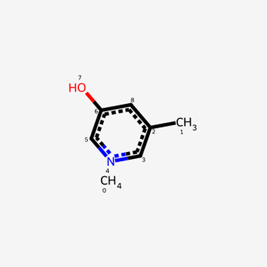 C.Cc1cncc(O)c1